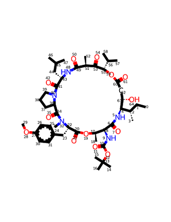 CC[C@H](C)[C@H]1NC(=O)[C@@H](NC(=O)OC(C)(C)C)[C@@H](C)OC(=O)[C@H](Cc2ccc(OC)cc2)N(C)C(=O)C2CCCN2C(=O)[C@H](CC(C)C)NC(=O)[C@@H](C)C(=O)[C@H](C(C)C)OC(=O)C[C@@H]1O